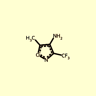 Cc1onc(C(F)(F)F)c1N